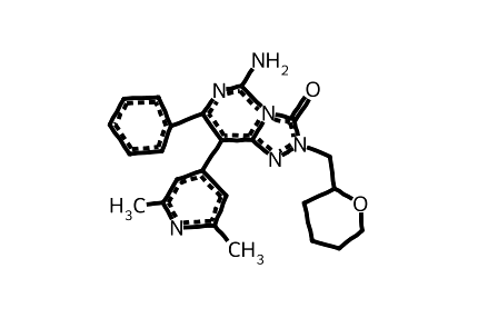 Cc1cc(-c2c(-c3ccccc3)nc(N)n3c(=O)n(CC4CCCCO4)nc23)cc(C)n1